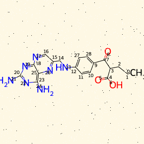 CCCC(C(=O)O)C(=O)c1ccc(NCc2cnc3nc(N)nc(N)c3n2)cc1